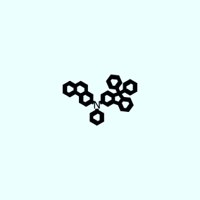 c1ccc(N(c2ccc3c(c2)-c2ccccc2C3(c2ccccc2)c2ccccc2)c2ccc3c(ccc4ccccc43)c2)cc1